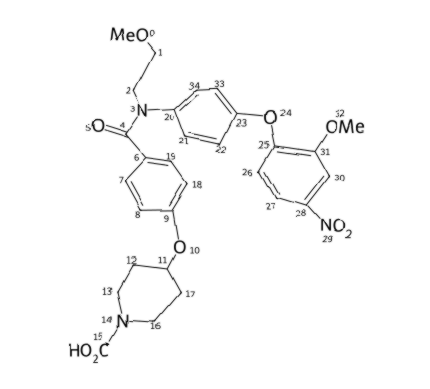 COCCN(C(=O)c1ccc(OC2CCN(C(=O)O)CC2)cc1)c1ccc(Oc2ccc([N+](=O)[O-])cc2OC)cc1